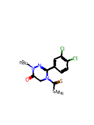 CCCCN1N=C(c2ccc(Cl)c(Cl)c2)N(C(=S)SC)CC1=O